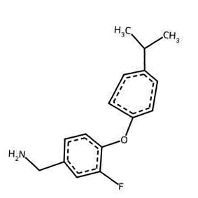 CC(C)c1ccc(Oc2ccc(CN)cc2F)cc1